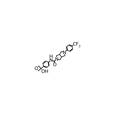 O=C(Nc1ccc(C2(O)COC2)cc1)N1CC2CN(c3ccc(C(F)(F)F)cc3)CC2C1